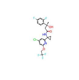 C[C@@](O)(CC(=O)NC1(c2cc(Cl)cc(OCC(F)(F)F)n2)CC1)c1ccc(F)cc1F